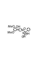 COc1cc(OC)c(O)c(N2CCN(C(=O)c3nc([S+](C)[O-])[nH]c3-c3ccccc3)CC2)c1